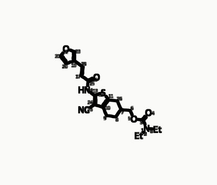 CCN(CC)C(=O)OCC1CCc2c(sc(NC(=O)C=Cc3ccoc3)c2C#N)C1